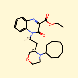 CCOC(=O)c1nc2ccccc2n([C@@H](C)C[C@@H]2COCCN2C2CCCCCCC2)c1=O